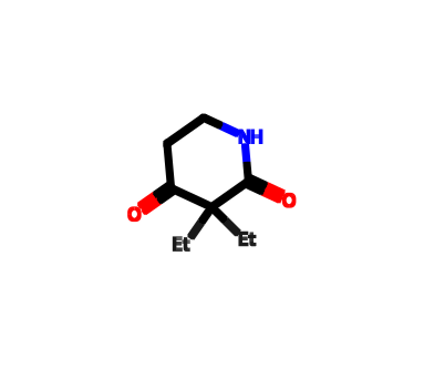 CCC1(CC)C(=O)CCNC1=O